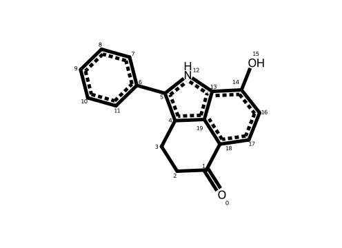 O=C1CCc2c(-c3ccccc3)[nH]c3c(O)ccc1c23